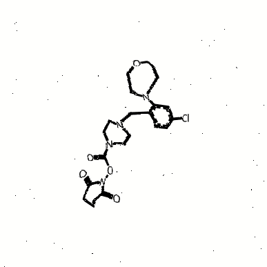 O=C(ON1C(=O)CCC1=O)N1CCN(Cc2ccc(Cl)cc2N2CCOCC2)CC1